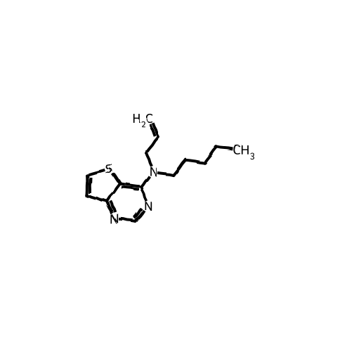 C=CCN(CCCCC)c1ncnc2ccsc12